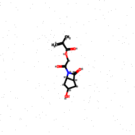 C=C(C)C(=O)OCC(=O)N1C(=O)C2CC(O)CC21